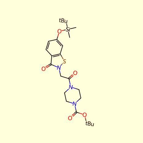 CC(C)(C)OC(=O)N1CCN(C(=O)Cn2sc3cc(O[Si](C)(C)C(C)(C)C)ccc3c2=O)CC1